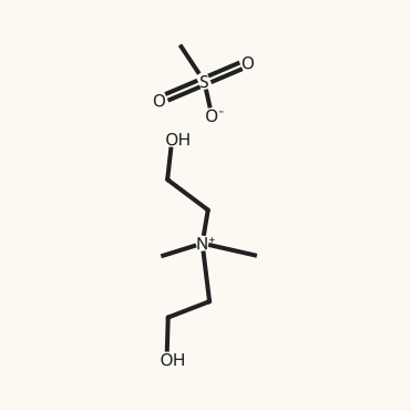 CS(=O)(=O)[O-].C[N+](C)(CCO)CCO